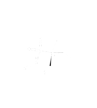 CC1C[C@@]1(C)S(=O)(=S)[SH](=S)=S